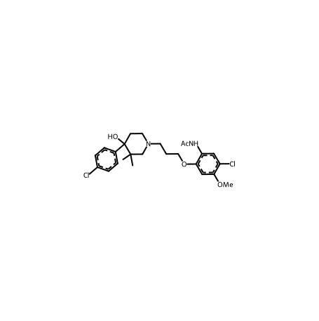 COc1cc(OCCCN2CCC(O)(c3ccc(Cl)cc3)C(C)(C)C2)c(NC(C)=O)cc1Cl